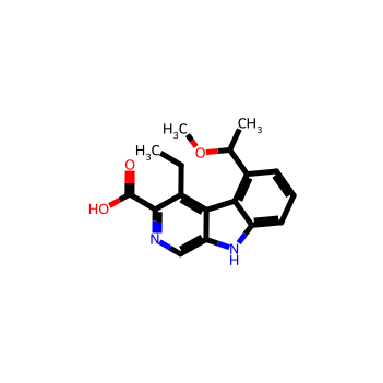 CCc1c(C(=O)O)ncc2[nH]c3cccc(C(C)OC)c3c12